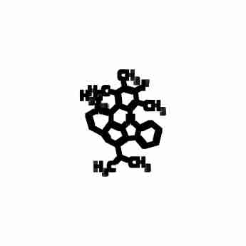 Cc1c(F)c(C)c2c(c1C)c1c3c(cc[n+]1C)cc(C(C)C)c1c4ccccc4n2c13